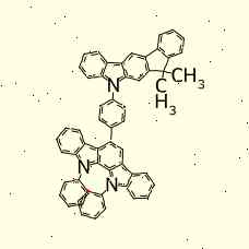 CC1(C)c2ccccc2-c2cc3c4ccccc4n(-c4ccc(-c5cc6c7ccccc7n(-c7ccccc7)c6c6c5c5ccccc5n6-c5ccccc5)cc4)c3cc21